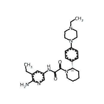 CCc1cc(NC(=O)C(=O)N2CCCC[C@H]2c2ccc(N3CCN(CC)CC3)cc2)cnc1N